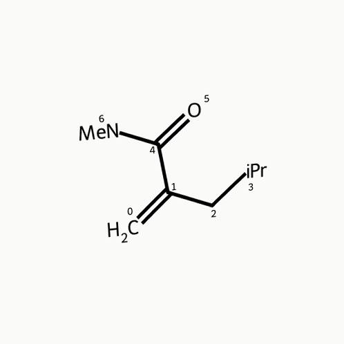 C=C(CC(C)C)C(=O)NC